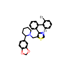 CCc1cccc(CC)c1-c1ccccc1-c1ncsc1CN1CCCCC1c1ccc2c(c1)OCO2